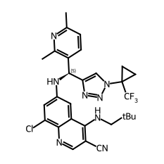 Cc1ccc([C@H](Nc2cc(Cl)c3ncc(C#N)c(NCC(C)(C)C)c3c2)c2cn(C3(C(F)(F)F)CC3)nn2)c(C)n1